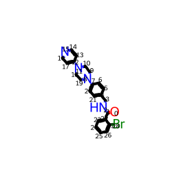 O=C(NCc1ccc(N2CCN(c3ccncc3)CC2)cc1)c1ccccc1Br